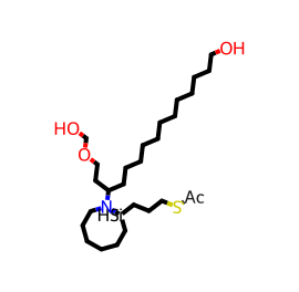 CC(=O)SCCC[SiH]1CCCCCCN1C(CCCCCCCCCCCCO)CCOCO